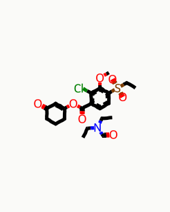 CCN(C=O)CC.CCS(=O)(=O)c1ccc(C(=O)OC2=CC(=O)CCC2)c(Cl)c1OC